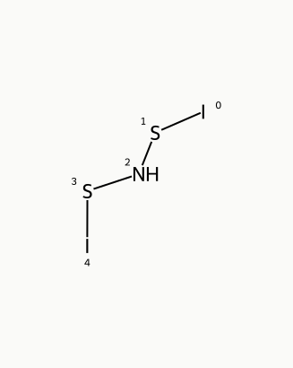 ISNSI